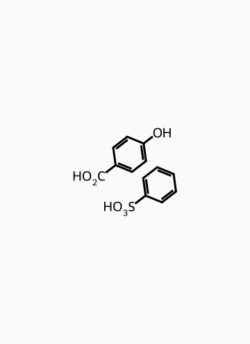 O=C(O)c1ccc(O)cc1.O=S(=O)(O)c1ccccc1